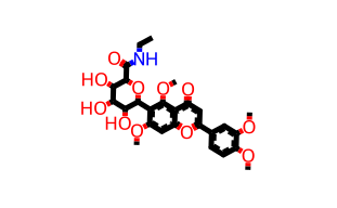 CCNC(=O)C1OC(c2c(OC)cc3oc(-c4ccc(OC)c(OC)c4)cc(=O)c3c2OC)C(O)C(O)C1O